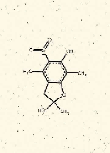 Cc1c(C)c([SH](=O)=O)c(C)c2c1OC(C)(C)C2